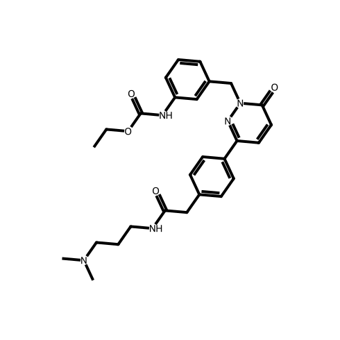 CCOC(=O)Nc1cccc(Cn2nc(-c3ccc(CC(=O)NCCCN(C)C)cc3)ccc2=O)c1